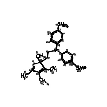 CSc1ccc(P(CCC2(C)P=C(C)C(C)=C2C)c2ccc(SC)cc2)cc1